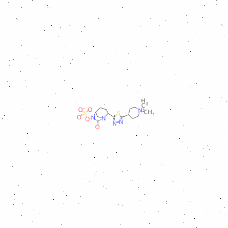 C[N+]1(C)CCC(c2nnc(C3CCC4CN3C(=O)N4OS(=O)(=O)[O-])s2)CC1